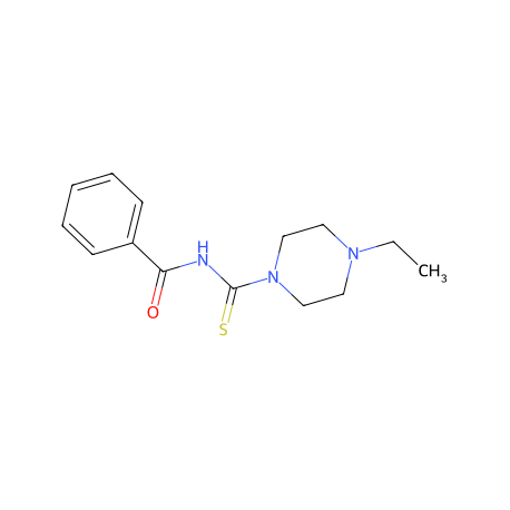 CCN1CCN(C(=S)NC(=O)c2ccccc2)CC1